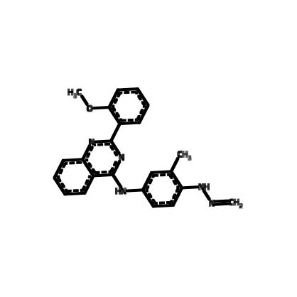 C=NNc1ccc(Nc2nc(-c3ccccc3OC)nc3ccccc23)cc1C